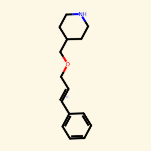 C(=C\c1ccccc1)/COCC1CCNCC1